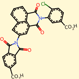 O=C(O)c1ccc2c(c1)C(=O)N(c1cc3c4c(cccc4c1)C(=O)N(c1cc(C(=O)O)ccc1Cl)C3=O)C2=O